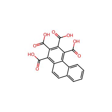 O=C(O)c1c(C(=O)O)c(C(=O)O)c2c(ccc3ccccc32)c1C(=O)O